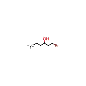 CCCC(O)CCBr